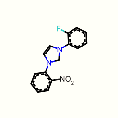 O=[N+]([O-])c1ccccc1N1C=CN(c2ccccc2F)C1